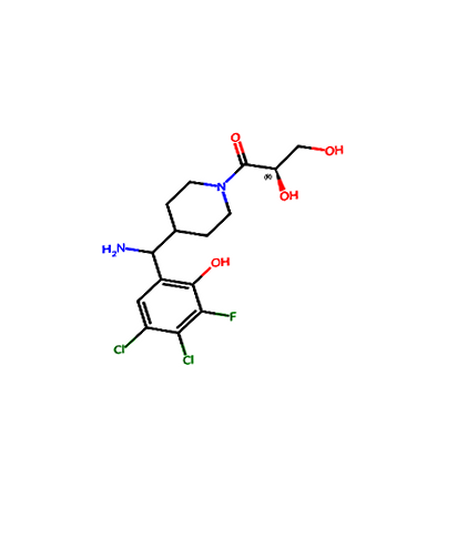 NC(c1cc(Cl)c(Cl)c(F)c1O)C1CCN(C(=O)[C@H](O)CO)CC1